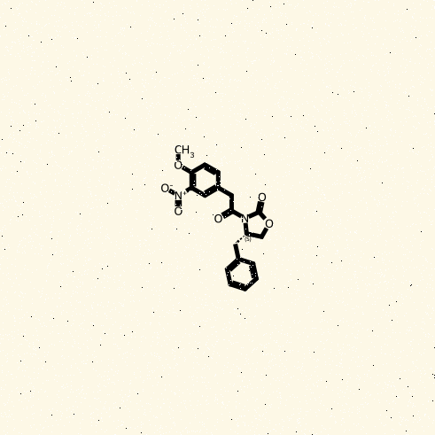 COc1ccc(CC(=O)N2C(=O)OC[C@@H]2Cc2ccccc2)cc1[N+](=O)[O-]